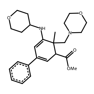 COC(=O)C1C=C(c2ccccc2)C=C(NC2CCOCC2)C1(C)CN1CCOCC1